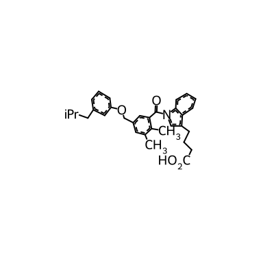 Cc1cc(COc2cccc(CC(C)C)c2)cc(C(=O)n2cc(CCCC(=O)O)c3ccccc32)c1C